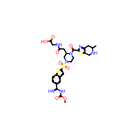 COC(=O)NC(=N)c1ccc2sc(S(=O)(=O)N3CCN(C(=O)c4nc5c(s4)CNC(C)C5)C(CC(=O)NCC(=O)O)C3)cc2c1